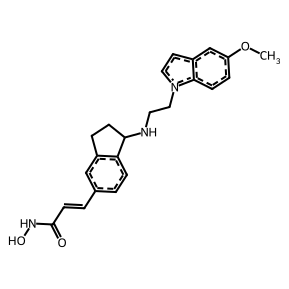 COc1ccc2c(ccn2CCNC2CCc3cc(C=CC(=O)NO)ccc32)c1